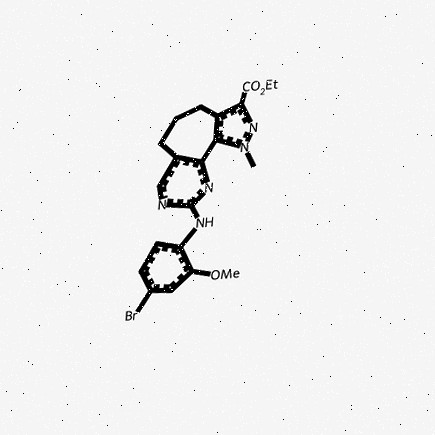 CCOC(=O)c1nn(C)c2c1CCCc1cnc(Nc3ccc(Br)cc3OC)nc1-2